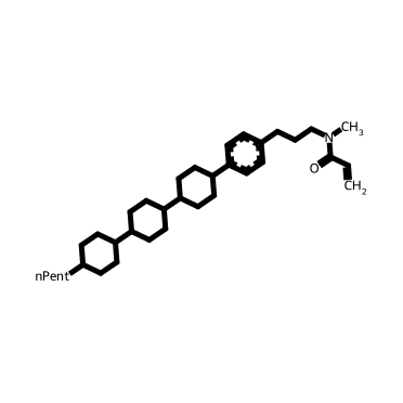 C=CC(=O)N(C)CCCc1ccc(C2CCC(C3CCC(C4CCC(CCCCC)CC4)CC3)CC2)cc1